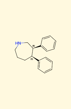 c1ccc([C@H]2CCCNC[C@H]2c2ccccc2)cc1